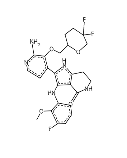 COc1c(F)cccc1Nc1c(-c2ccnc(N)c2OCC2CCC(F)(F)CO2)[nH]c2c1C(=O)NCC2